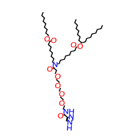 CCCCCCCCCOC(=O)CCCCCCCN(CCCCCCCC(=O)OC(CCCCCCCC)CCCCCCCC)C(=O)CCOCCOCCOCCOCCNC(=O)c1c[nH]cn1